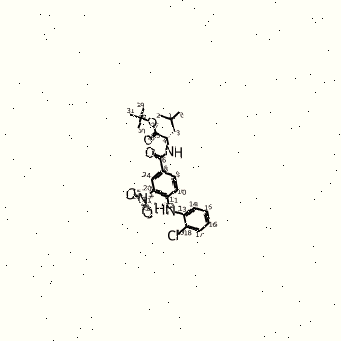 CC(C)C[C@H](NC(=O)c1ccc(Nc2ccccc2Cl)c([N+](=O)[O-])c1)C(=O)OC(C)(C)C